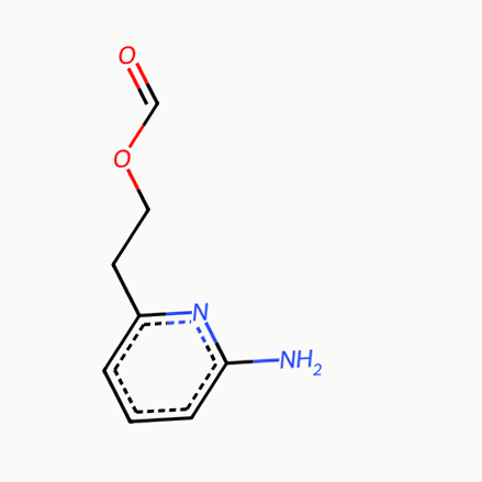 Nc1cccc(CCOC=O)n1